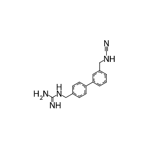 N#CNCc1cccc(-c2ccc(CNC(=N)N)cc2)c1